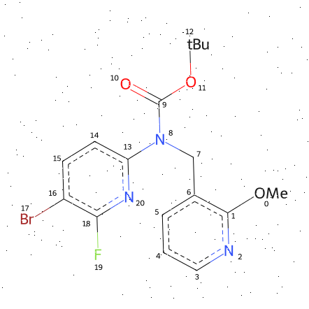 COc1ncccc1CN(C(=O)OC(C)(C)C)c1ccc(Br)c(F)n1